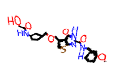 COc1cccc(CNC(=O)c2nc3scc(COCC4CCC(NC(=O)CO)C4)c3c(=O)[nH]2)c1